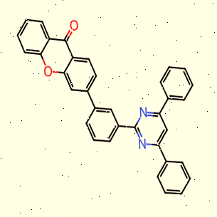 O=c1c2ccccc2oc2cc(-c3cccc(-c4nc(-c5ccccc5)cc(-c5ccccc5)n4)c3)ccc12